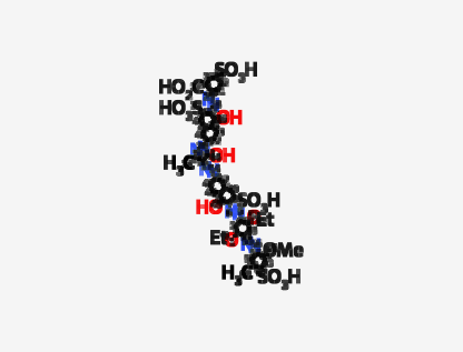 CCOc1cc(/N=N/c2c(S(=O)(=O)O)cc3cc(/N=N/c4c(C)nn(-c5ccc6c(O)c(/N=N/c7ccc(S(=O)(=O)O)cc7C(=O)O)c(S(=O)(=O)O)cc6c5)c4O)ccc3c2O)c(OCC)cc1/N=N/c1cc(C)c(S(=O)(=O)O)cc1OC